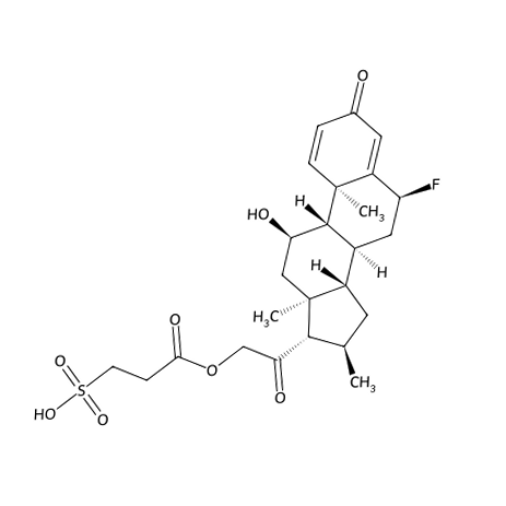 C[C@@H]1C[C@H]2[C@@H]3C[C@H](F)C4=CC(=O)C=C[C@]4(C)[C@H]3[C@H](O)C[C@]2(C)[C@H]1C(=O)COC(=O)CCS(=O)(=O)O